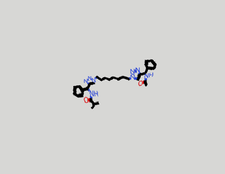 CC(=O)NC(c1ccccc1)c1cn(CCCCCCCCn2cc(C(NC(=O)C(C)C)c3ccccc3)nn2)nn1